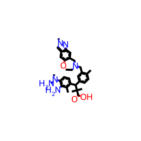 Cc1ccc(C(c2ccc(N(C)N)c(N)c2C)C(C)(C)C(=O)O)cc1CN1CCOc2cc3cn(C)nc3cc2C1